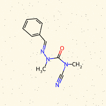 [CH2]N(C#N)C(=O)N(C)N=Cc1ccccc1